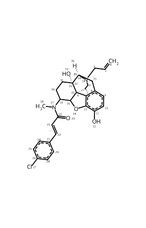 C=CCN1CC[C@]23c4c5ccc(O)c4OC2C(N(C)C(=O)/C=C/c2ccc(Cl)cc2)CC[C@@]3(O)[C@H]1C5